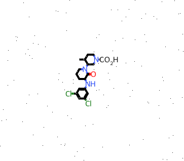 CC1CCN(C(=O)O)CC1N1CCCC(Nc2cc(Cl)cc(Cl)c2)C1=O